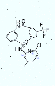 CC1\C=C(N[C@H]2Oc3cc(cc(C(F)(F)F)c3)C(=O)Nc3cccc2c3)/N=C(Cl)\C=C\C1